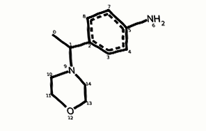 CC(c1ccc(N)cc1)N1CCOCC1